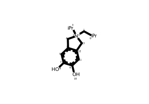 CC(C)C[N+]1(C(C)C)Cc2cc(O)c(O)cc2C1